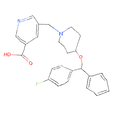 O=C(O)c1cncc(CN2CCC(OC(c3ccccc3)c3ccc(F)cc3)CC2)c1